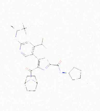 C[C@H](Nc1cc(C(F)F)c(-c2sc(C(=O)N[C@H]3CC[C@H](O)C3)nc2C(=O)N2C3CCC2CC3)cn1)C(F)(F)F